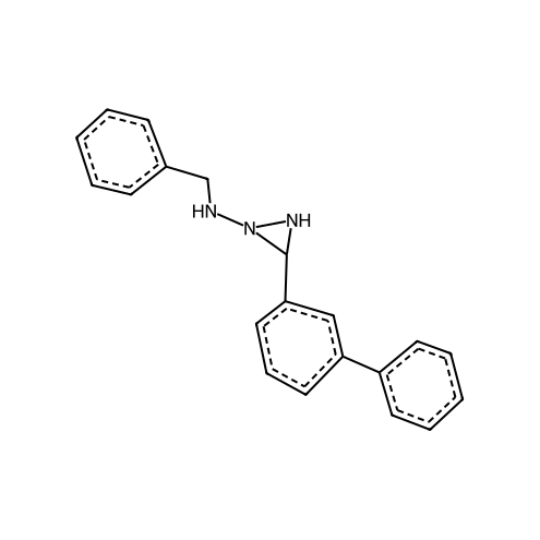 c1ccc(CNN2NC2c2cccc(-c3ccccc3)c2)cc1